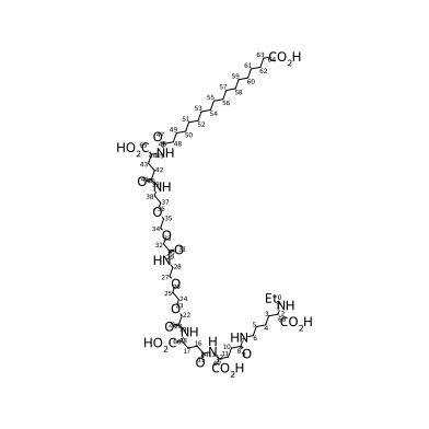 CCN[C@@H](CCCCNC(=O)CC[C@H](NC(=O)CC[C@H](NC(=O)COCCOCCNC(=O)COCCOCCNC(=O)CC[C@H](NC(=O)CCCCCCCCCCCCCCCCC(=O)O)C(=O)O)C(=O)O)C(=O)O)C(=O)O